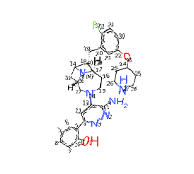 Nc1nnc(-c2ccccc2O)cc1N1CC[C@@H]2[C@@H](Cc3cc(OC4CCNCC4)ccc3F)C3C[C@@H](C1)N32